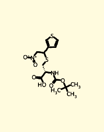 CC(C)(C)OC(=O)N[C@@H](CSC(C[N+](=O)[O-])c1ccsc1)C(=O)O